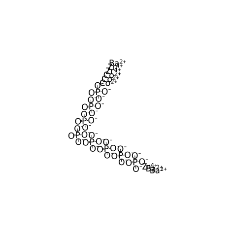 O=P([O-])([O-])[O-].O=P([O-])([O-])[O-].O=P([O-])([O-])[O-].O=P([O-])([O-])[O-].O=P([O-])([O-])[O-].O=P([O-])([O-])[O-].O=P([O-])([O-])[O-].O=P([O-])([O-])[O-].[Ba+2].[Ba+2].[Ba+2].[Co+2].[Co+2].[Co+2].[Zr+4].[Zr+4].[Zr+4]